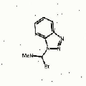 CCC(NC)n1nnc2ccccc21